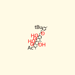 CC(=O)C1=C(C)CC2C(O)C3C(=C(O)C2(C)C1=O)C(=O)c1c(ccc(CC(=O)Cc2ccc(C)cc2C(C)(C)C)c1O)C3C